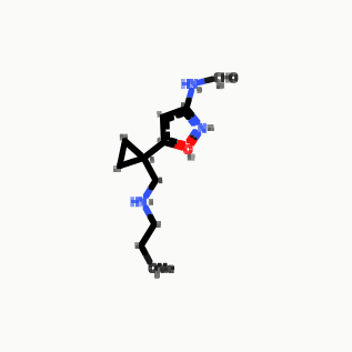 COCCNCC1(c2cc(NC=O)no2)CC1